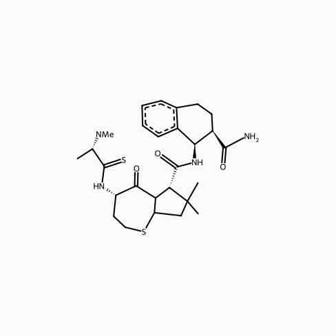 CN[C@@H](C)C(=S)N[C@H]1CCSC2CC(C)(C)[C@@H](C(=O)N[C@H]3c4ccccc4CC[C@H]3C(N)=O)C2C1=O